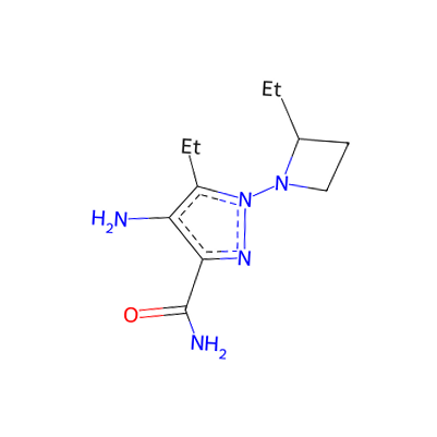 CCc1c(N)c(C(N)=O)nn1N1CCC1CC